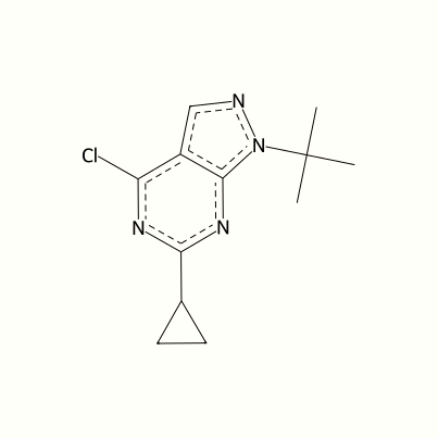 CC(C)(C)n1ncc2c(Cl)nc(C3CC3)nc21